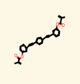 C=C(C)C(=O)Oc1cccc(C#Cc2ccc(C#Cc3cccc(OC(=O)C(=C)C)c3)cc2)c1